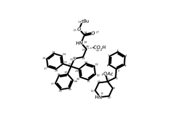 CC(=O)OC1(Cc2ccccc2)CCNCC1.CC(C)(C)OC(=O)N[C@@H](CSC(c1ccccc1)(c1ccccc1)c1ccccc1)C(=O)O